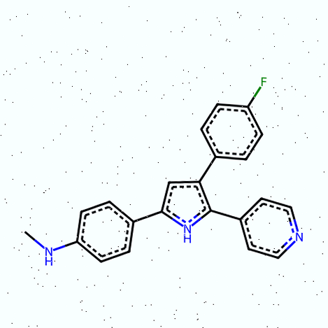 CNc1ccc(-c2cc(-c3ccc(F)cc3)c(-c3ccncc3)[nH]2)cc1